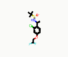 CC(N[S@+]([O-])C(C)(C)C)c1ccc(OCC(F)F)cc1Cl